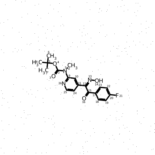 CN(C(=O)OC(C)(C)C)c1cc(/C(=N/O)C(=O)c2ccc(F)cc2)ccn1